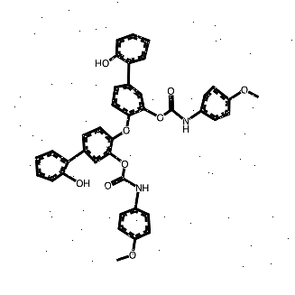 COc1ccc(NC(=O)Oc2cc(-c3ccccc3O)ccc2Oc2ccc(-c3ccccc3O)cc2OC(=O)Nc2ccc(OC)cc2)cc1